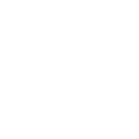 NC(=O)OCCCCCCCCCCCCCCCC(=O)O